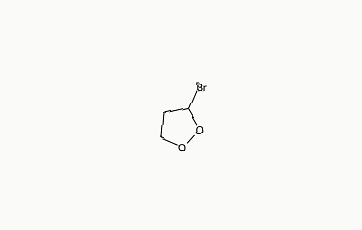 BrC1CCOO1